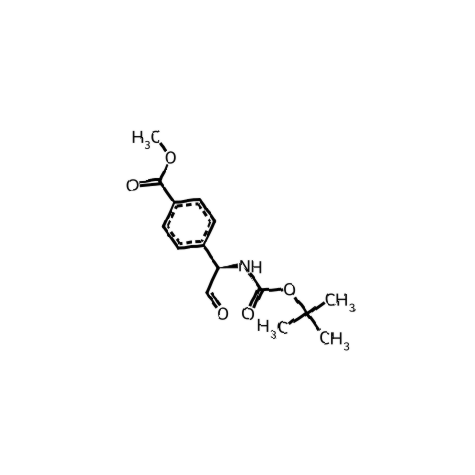 COC(=O)c1ccc([C@H](C=O)NC(=O)OC(C)(C)C)cc1